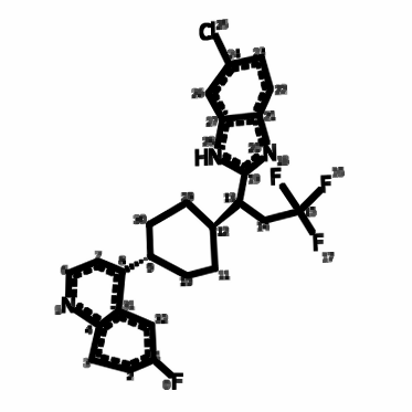 Fc1ccc2nccc([C@H]3CC[C@H](C(CC(F)(F)F)c4nc5ccc(Cl)cc5[nH]4)CC3)c2c1